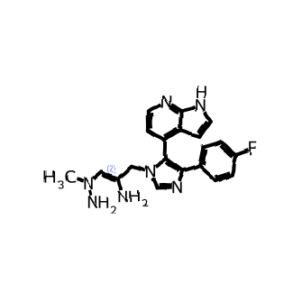 CN(N)/C=C(\N)Cn1cnc(-c2ccc(F)cc2)c1-c1ccnc2[nH]ccc12